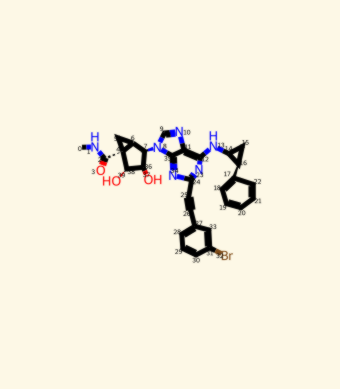 CNC(=O)[C@]12CC1[C@@H](n1cnc3c(NC4C[C@H]4c4ccccc4)nc(C#Cc4cccc(Br)c4)nc31)C(O)[C@@H]2O